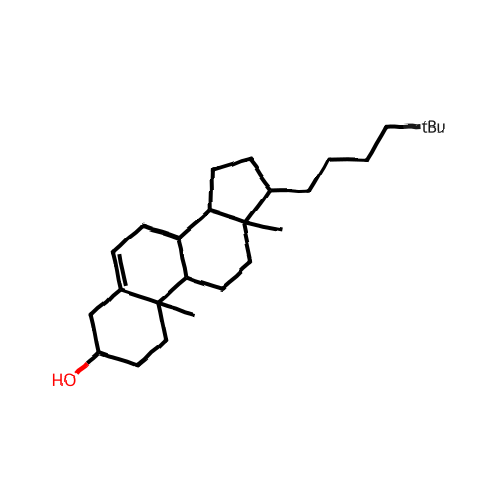 CC(C)(C)CCCCC1CCC2C3CC=C4CC(O)CCC4(C)C3CCC12C